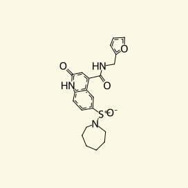 O=C(NCc1ccco1)c1cc(=O)[nH]c2ccc([S+]([O-])N3CCCCCC3)cc12